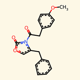 COc1ccc(CC(=O)n2c(Cc3ccccc3)coc2=O)cc1